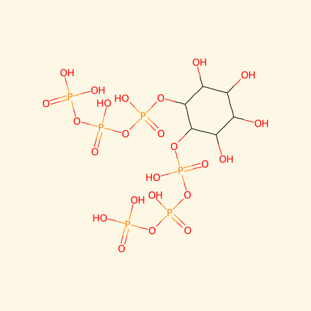 O=P(O)(O)OP(=O)(O)OP(=O)(O)OC1C(O)C(O)C(O)C(O)C1OP(=O)(O)OP(=O)(O)OP(=O)(O)O